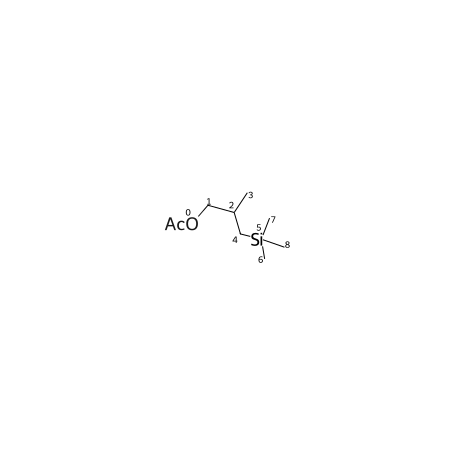 CC(=O)OCC(C)C[Si](C)(C)C